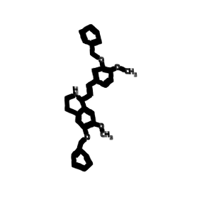 COc1ccc(C=CC2NCCc3cc(OCc4ccccc4)c(OC)cc32)cc1OCc1ccccc1